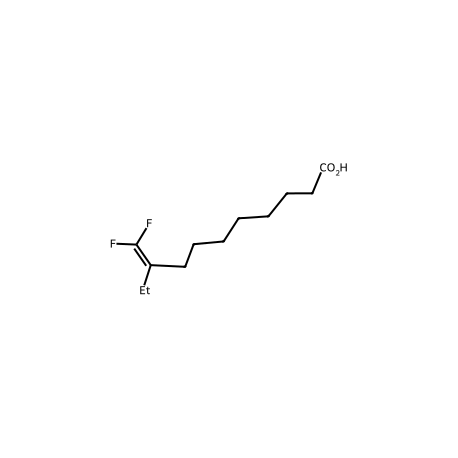 CCC(CCCCCCCC(=O)O)=C(F)F